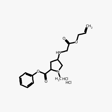 C=CCOC(=O)CNC1CC(C(=O)Oc2ccccc2)N(C)C1.Cl.Cl